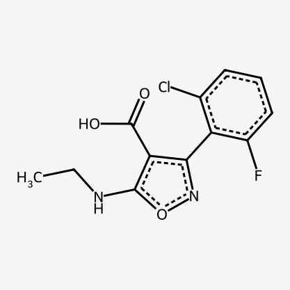 CCNc1onc(-c2c(F)cccc2Cl)c1C(=O)O